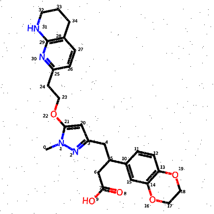 Cn1nc(CC(CC(=O)O)c2ccc3c(c2)OCCO3)cc1OCCc1ccc2c(n1)NCCC2